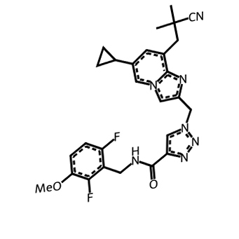 COc1ccc(F)c(CNC(=O)c2cn(Cc3cn4cc(C5CC5)cc(CC(C)(C)C#N)c4n3)nn2)c1F